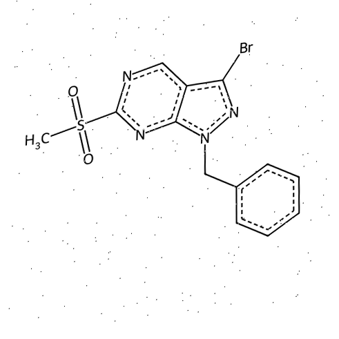 CS(=O)(=O)c1ncc2c(Br)nn(Cc3ccccc3)c2n1